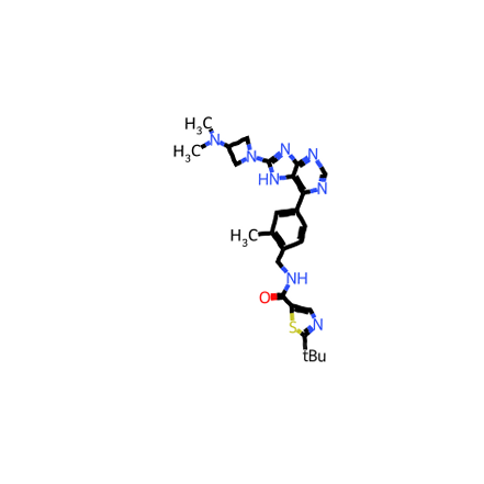 Cc1cc(-c2ncnc3nc(N4CC(N(C)C)C4)[nH]c23)ccc1CNC(=O)c1cnc(C(C)(C)C)s1